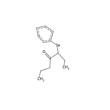 CCCC(=O)C(CC)[Se]c1ccccc1